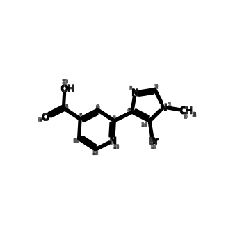 Cn1cnc(-c2cc(C(=O)O)ccn2)c1Br